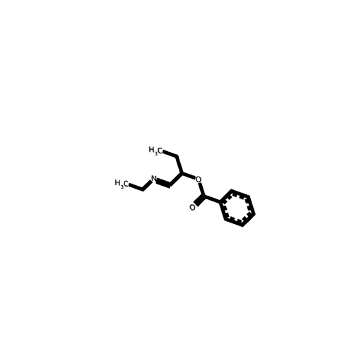 CCN=CC(CC)OC(=O)c1ccccc1